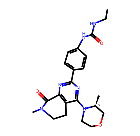 CCNC(=O)Nc1ccc(-c2nc3c(c(N4CCOC[C@@H]4C)n2)CCN(C)C3=O)cc1